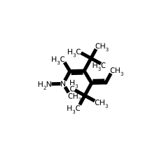 C/C=C(\C(=C(\C)N(C)N)C(C)(C)C)C(C)(C)C